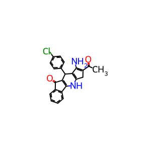 CC(=O)C1=C(N)C2=C(C1)NC1=C(C(=O)c3ccccc31)C2c1ccc(Cl)cc1